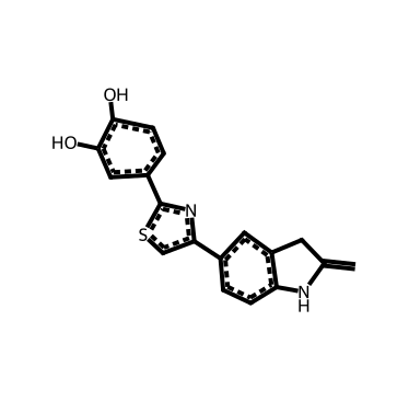 C=C1Cc2cc(-c3csc(-c4ccc(O)c(O)c4)n3)ccc2N1